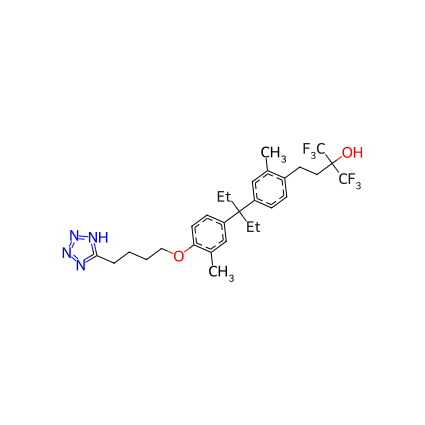 CCC(CC)(c1ccc(CCC(O)(C(F)(F)F)C(F)(F)F)c(C)c1)c1ccc(OCCCCc2nnn[nH]2)c(C)c1